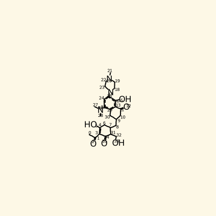 CC(=O)C1=C(O)CC(CC2CC(=O)c3c(O)c(N4CCN(C)CC4)cc(N(C)C)c3C2)C(CO)C1=O